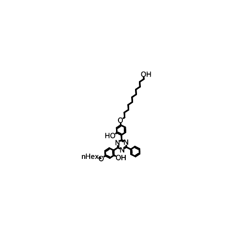 CCCCCCOc1ccc(-c2nc(-c3ccccc3)nc(-c3ccc(OCCCCCCCCCCCO)cc3O)n2)c(O)c1